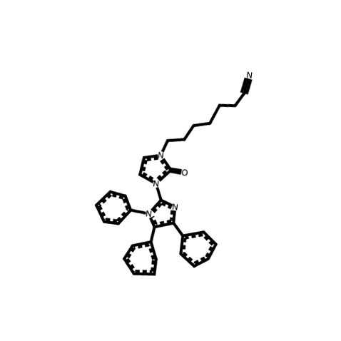 N#CCCCCCCn1ccn(-c2nc(-c3ccccc3)c(-c3ccccc3)n2-c2ccccc2)c1=O